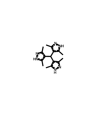 Cc1n[nH]c(C)c1C(c1c(C)n[nH]c1C)c1c(C)n[nH]c1C